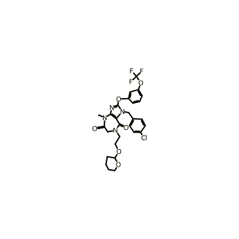 CN1C(=O)CN(CCOC2CCCCO2)C(=O)c2c1nc(Oc1cccc(OC(F)(F)F)c1)n2Cc1ccc(Cl)cc1